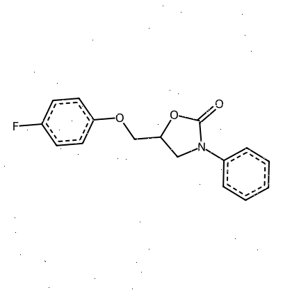 O=C1OC(COc2ccc(F)cc2)CN1c1ccccc1